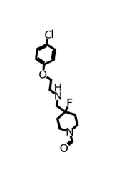 O=CN1CCC(F)(CNCCOc2ccc(Cl)cc2)CC1